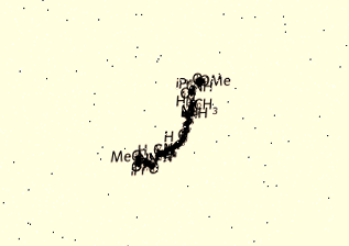 COC(=O)N[C@@H](C(=O)CN[C@H](C)c1ncc(C=CCOCC#Cc2cnc([C@H](C)CNC(=O)[C@H](NC(=O)OC)C(C)C)[nH]2)[nH]1)C(C)C